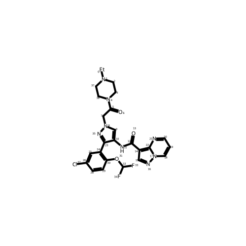 CCN1CCN(C(=O)Cn2cc(NC(=O)c3cnn4cccnc34)c(-c3cc(Cl)ccc3OC(F)F)n2)CC1